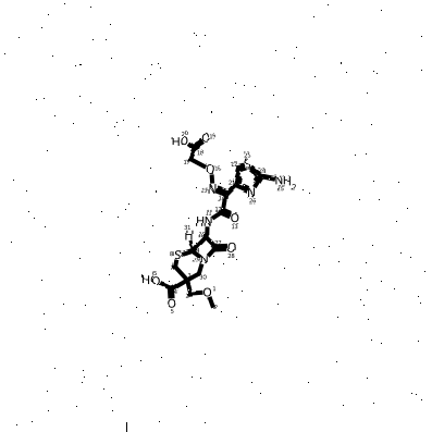 COCC1(C(=O)O)CS[C@@H]2C(NC(=O)C(=NOCC(=O)O)c3csc(N)n3)C(=O)N2C1